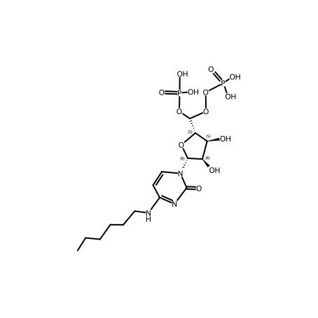 CCCCCCNc1ccn([C@@H]2O[C@H](C(OOP(=O)(O)O)OP(=O)(O)O)[C@@H](O)[C@H]2O)c(=O)n1